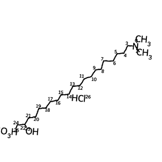 CN(C)CCCCCCCCCCCCCCCCCCCC(O)CS(=O)(=O)O.Cl